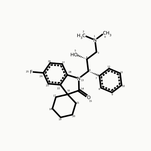 CN(C)C[C@@H](O)[C@H](c1ccccc1)N1C(=O)C2(CCCCC2)c2cc(F)ccc21